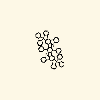 c1ccc(-c2c3c4cc5c(c6c7ccccc7n(c3c(-c3ccccc3)c3c7cc8c(c9c%10ccccc%10n(c23)c79)-c2ccccc2C8(c2ccccc2)c2ccccc2)c46)-c2ccccc2C5(c2ccccc2)c2ccccc2)cc1